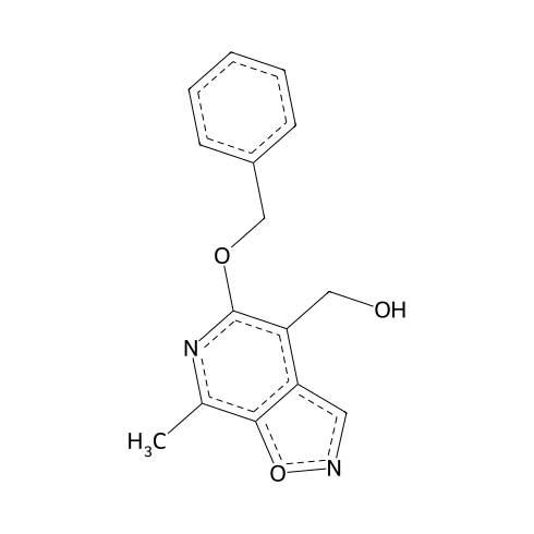 Cc1nc(OCc2ccccc2)c(CO)c2cnoc12